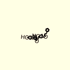 O=C(CCc1ccccc1)N1CCC(O)(Cn2cnc(N3CCC(O)CC3)cc2=O)CC1